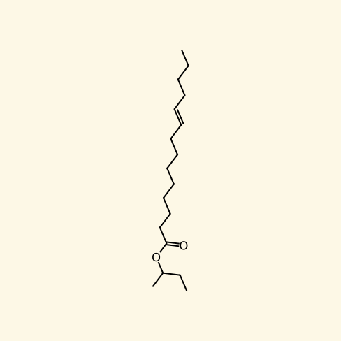 CCCCC=CCCCCCCCC(=O)OC(C)CC